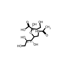 CC(=O)NCC(O[C@](O)(CCO)C(=O)O)[C@H](O)[C@H](O)CO